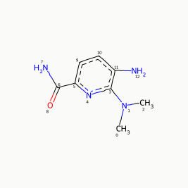 CN(C)c1nc(C(N)=O)ccc1N